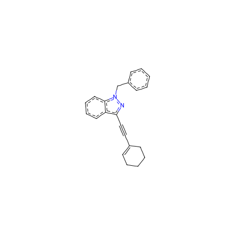 C(#Cc1nn(Cc2ccccc2)c2ccccc12)C1=CCCCC1